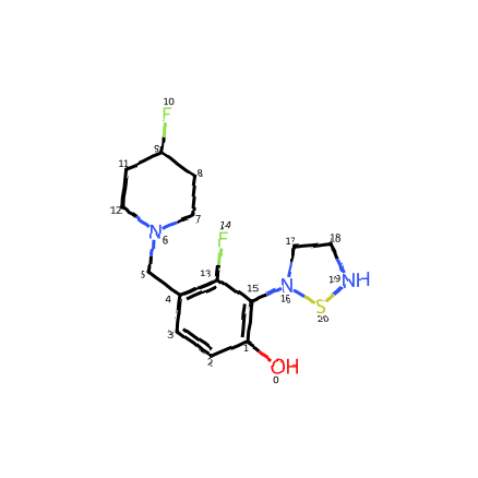 Oc1ccc(CN2CCC(F)CC2)c(F)c1N1CCNS1